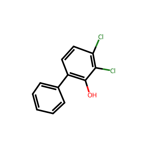 Oc1c(-c2ccccc2)ccc(Cl)c1Cl